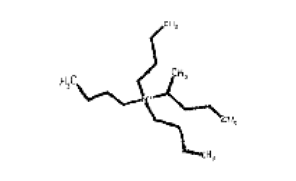 CCCC[N+](CCCC)(CCCC)C(C)CCC